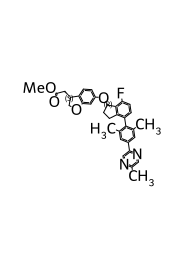 COC(=O)C[C@@H]1COc2cc(O[C@@H]3CCc4c(-c5c(C)cc(-c6cnc(C)cn6)cc5C)ccc(F)c43)ccc21